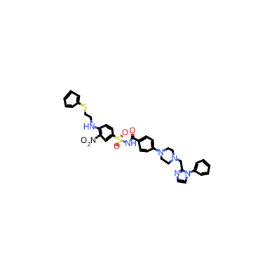 O=C(NS(=O)(=O)c1ccc(NCCSc2ccccc2)c([N+](=O)[O-])c1)c1ccc(N2CCN(Cc3nccn3-c3ccccc3)CC2)cc1